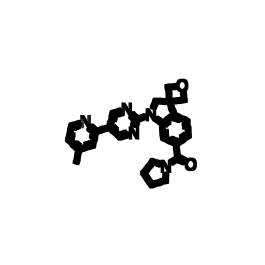 Cc1ccnc(-c2cnc(N3CC4(COC4)c4ccc(C(=O)N5CCCC5)cc43)nc2)c1